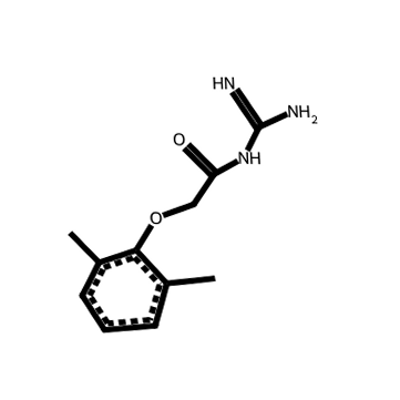 Cc1cccc(C)c1OCC(=O)NC(=N)N